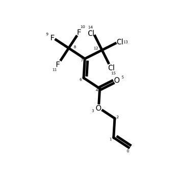 C=CCOC(=O)C=C(C(F)(F)F)C(Cl)(Cl)Cl